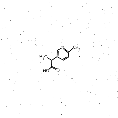 Cc1ccc(C(C)C(=O)O)cn1